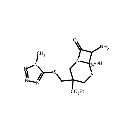 CCOC(=O)C1(CSc2nnnn2C)CS[C@@H]2C(N)C(=O)N2C1